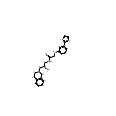 O=C(COc1cccc(-c2ncc[nH]2)c1)NC[C@@H](O)CN1CCc2ccccc2C1